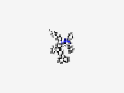 Cc1ccc(-c2ccc3c(c2)c2cc4c5ccccc5c5cc(-c6cccc7ccccc67)ccc5c4cc2n3-c2cc(-c3ccccc3)nc(-c3ccccc3)n2)cc1